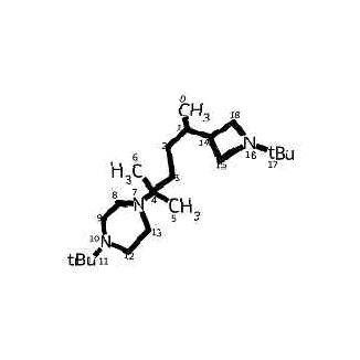 CC(CCC(C)(C)N1CCN(C(C)(C)C)CC1)C1CN(C(C)(C)C)C1